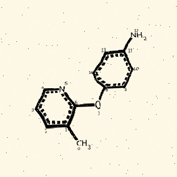 Cc1cccnc1Oc1ccc(N)cc1